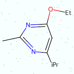 CCOc1cc(C(C)C)nc(C)n1